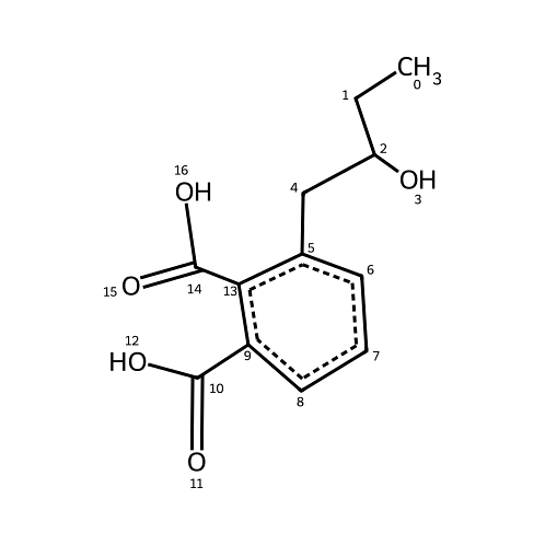 CCC(O)Cc1cccc(C(=O)O)c1C(=O)O